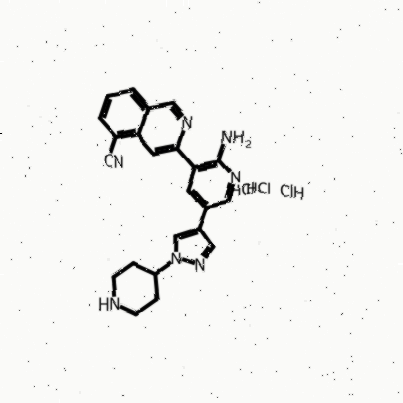 Cl.Cl.Cl.N#Cc1cccc2cnc(-c3cc(-c4cnn(C5CCNCC5)c4)cnc3N)cc12